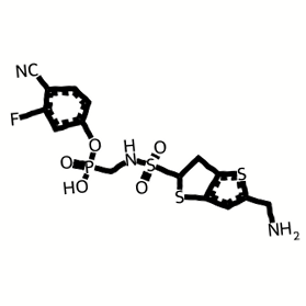 N#Cc1ccc(OP(=O)(O)CNS(=O)(=O)C2Cc3sc(CN)cc3S2)cc1F